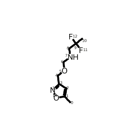 Cc1cc(COCNCC(C)(F)F)no1